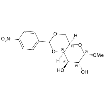 CO[C@H]1O[C@@H]2COC(c3ccc([N+](=O)[O-])cc3)O[C@@H]2[C@H](O)[C@H]1O